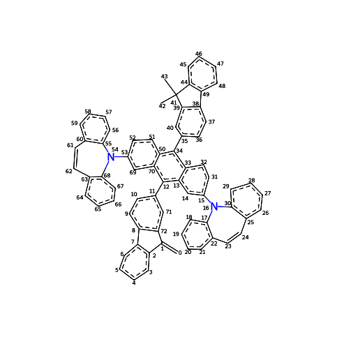 C=C1c2ccccc2-c2ccc(-c3c4cc(N5c6ccccc6C=Cc6ccccc65)ccc4c(-c4ccc5c(c4)C(C)(C)c4ccccc4-5)c4ccc(N5c6ccccc6C=Cc6ccccc65)cc34)cc21